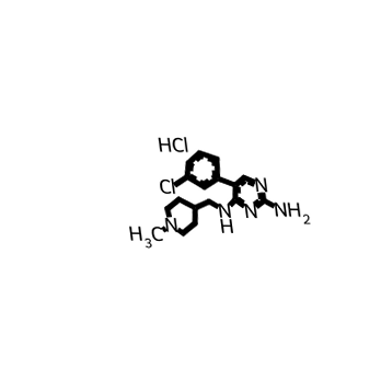 CN1CCC(CNc2nc(N)ncc2-c2cccc(Cl)c2)CC1.Cl